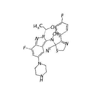 CC(C)n1nc2c(F)cc(N3CCNCC3)cc2c1N(C)C1(C#N)SCN=C1c1ccc(F)cc1